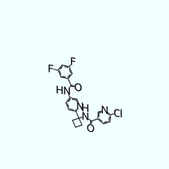 O=C(Nc1ccc(C2(NC(=O)c3ccc(Cl)nc3)CCC2)nc1)c1cc(F)cc(F)c1